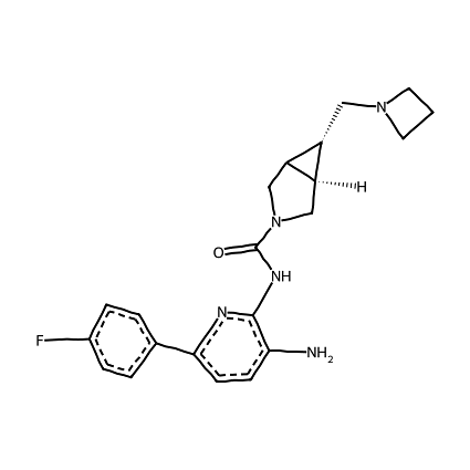 Nc1ccc(-c2ccc(F)cc2)nc1NC(=O)N1CC2[C@H](CN3CCC3)[C@H]2C1